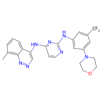 Cc1cccc2c(Nc3ccnc(Nc4cc(N5CCOCC5)cc(C(F)(F)F)c4)n3)cnnc12